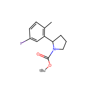 Cc1ccc(I)cc1C1CCCN1C(=O)OC(C)(C)C